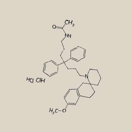 COc1ccc2c(c1)CCC1(CCCCN1CCCC(CCCNC(C)=O)(c1ccccc1)c1ccccc1)C2.Cl.Cl